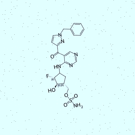 NS(=O)(=O)OC[C@H]1CC(Nc2ncncc2C(=O)c2ccn(Cc3ccccc3)n2)[C@@H](F)[C@@H]1O